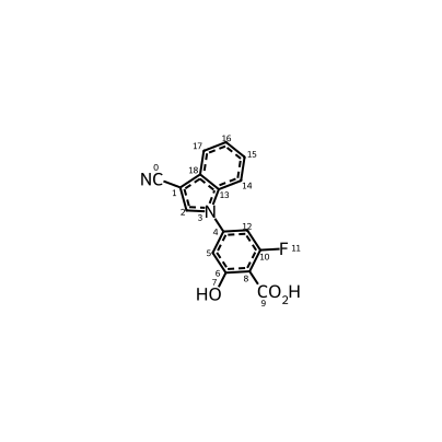 N#Cc1cn(-c2cc(O)c(C(=O)O)c(F)c2)c2ccccc12